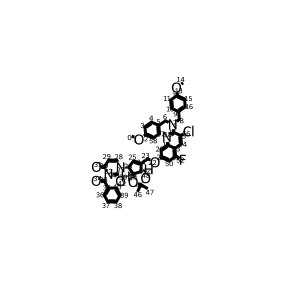 COc1ccc(CN(Cc2ccc(OC)cc2)c2nc3cc(OCC4=C[C@@H](n5ccc(=O)n(C(=O)c6ccccc6)c5=O)[C@@H]5OC(C)(C)O[C@H]45)cc(F)c3cc2Cl)cc1